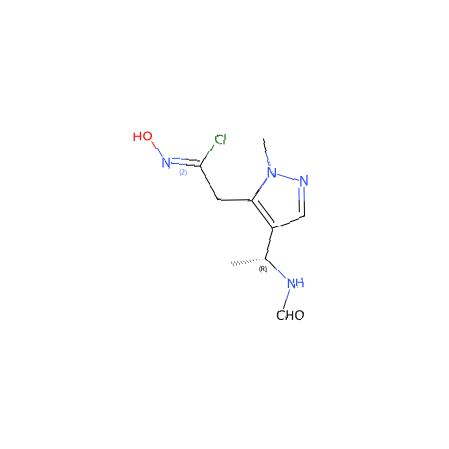 C[C@@H](NC=O)c1cnn(C)c1C/C(Cl)=N/O